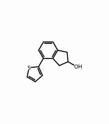 OC1Cc2cccc(-c3cccs3)c2C1